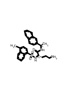 Cc1ccc(S(=O)(=O)N[C@@H](CCCN)C(=O)N[C@H](C)c2ccc3ccccc3c2)c2ccccc12